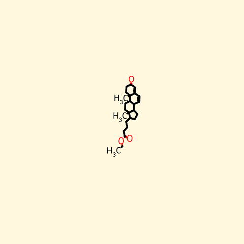 CCOC(=O)CCCC1CCC2C3C=CC4=CC(=O)CCC4(C)C3CCC12C